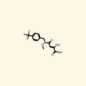 CON(Cc1ccc(C(F)(F)F)cc1)C(=O)C=C(O)C(=O)O